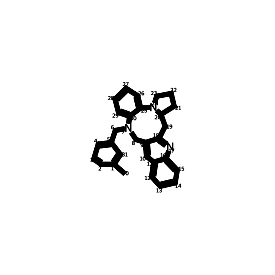 Cc1cccc(CN2Cc3cc4ccccc4nc3CC3CCCN3c3ccccc32)c1